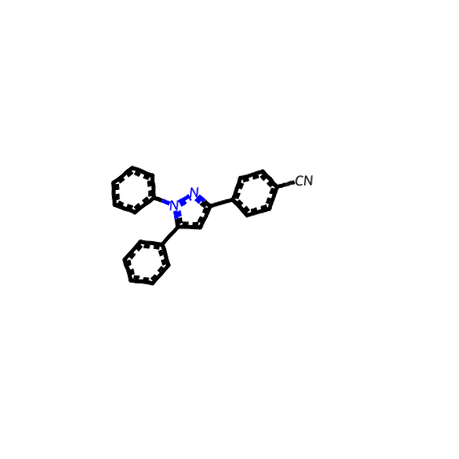 N#Cc1ccc(-c2cc(-c3ccccc3)n(-c3ccccc3)n2)cc1